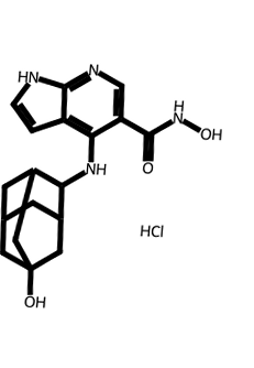 Cl.O=C(NO)c1cnc2[nH]ccc2c1NC1C2CC3CC1CC(O)(C3)C2